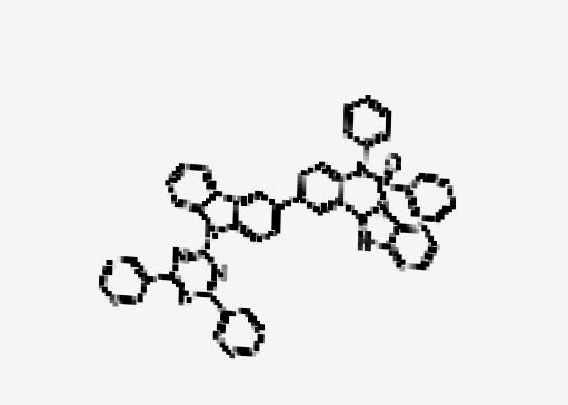 O=P1(c2ccccc2)N(c2ccccc2)c2ccc(-c3ccc4c(c3)c3ccccc3n4-c3nc(-c4ccccc4)nc(-c4ccccc4)n3)cc2-c2nc3ccccc3n21